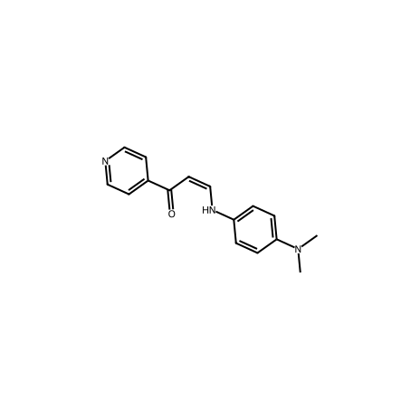 CN(C)c1ccc(N/C=C\C(=O)c2ccncc2)cc1